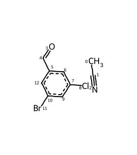 CC#N.O=Cc1cc(Cl)cc(Br)c1